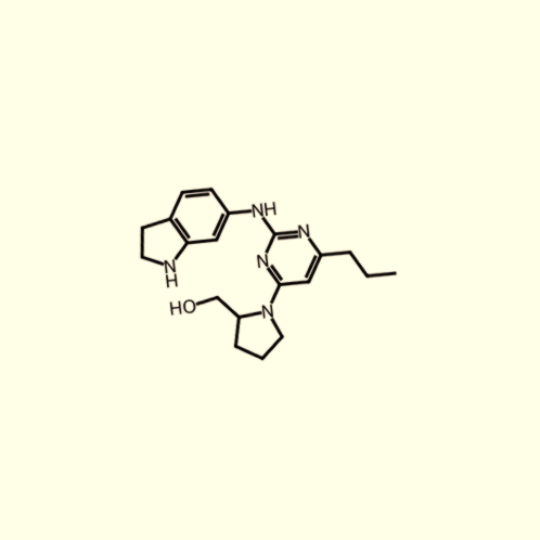 CCCc1cc(N2CCCC2CO)nc(Nc2ccc3c(c2)NCC3)n1